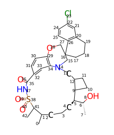 CC1CCC[C@H]([C@@H](C)O)C2CCC2CN2CC3(CCCc4cc(Cl)ccc43)COc3ccc(cc32)C(=O)NS(=O)(=O)C1C